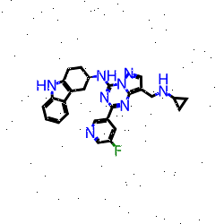 Fc1cncc(-c2nc(N[C@@H]3CCc4[nH]c5ccccc5c4C3)n3ncc(CNC4CC4)c3n2)c1